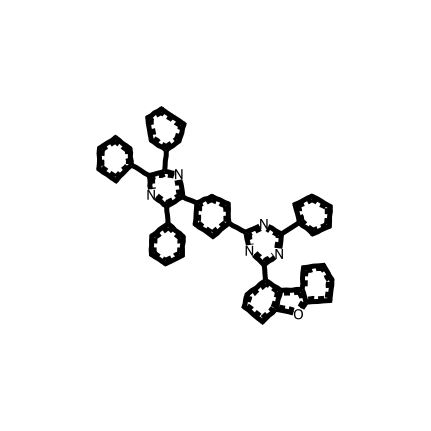 c1ccc(-c2nc(-c3ccc(-c4nc(-c5ccccc5)c(-c5ccccc5)nc4-c4ccccc4)cc3)nc(-c3cccc4oc5ccccc5c34)n2)cc1